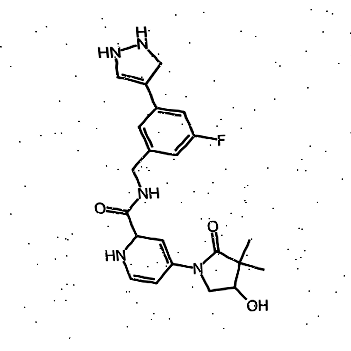 CC1(C)C(=O)N(C2=CC(C(=O)NCc3cc(F)cc(C4=CNNC4)c3)NC=C2)CC1O